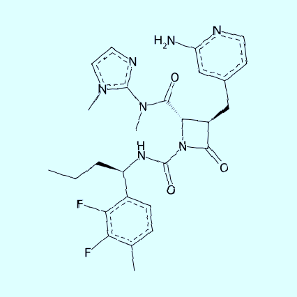 CCC[C@@H](NC(=O)N1C(=O)[C@H](Cc2ccnc(N)c2)[C@H]1C(=O)N(C)c1nccn1C)c1ccc(C)c(F)c1F